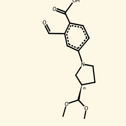 COC(OC)[C@@H]1CCN(c2ccc(C(=O)O)c(C=O)c2)C1